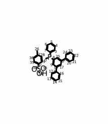 CP(c1ccccc1)c1cc(-c2ccccc2)cc(-c2ccccc2)c1.Cc1ccc(S(=O)(=O)O)cc1